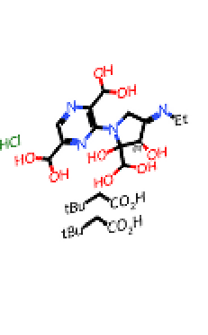 CC(C)(C)CC(=O)O.CC(C)(C)CC(=O)O.CCN=C1CN(c2nc(C(O)O)cnc2C(O)O)C(O)(C(O)O)[C@@H]1O.Cl